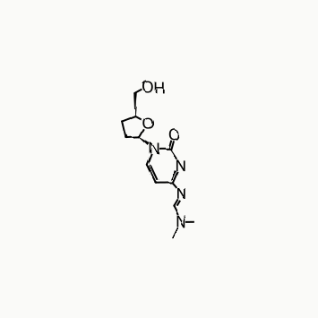 CN(C)C=Nc1ccn([C@H]2CC[C@@H](CO)O2)c(=O)n1